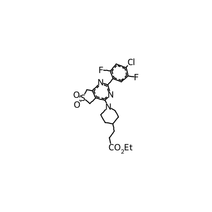 CCOC(=O)CCC1CCN(c2nc(-c3cc(F)c(Cl)cc3F)nc3c2CS(=O)(=O)C3)CC1